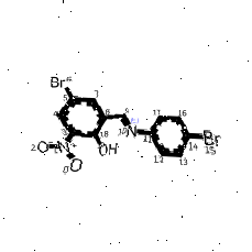 O=[N+]([O-])c1cc(Br)cc(/C=N/c2ccc(Br)cc2)c1O